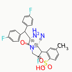 Cc1ccc(S(=O)(=O)O)c(C2[C@H](F)CN(C(=O)[C@@H](N)C(c3ccc(F)cc3)c3ccc(F)cc3)[C@@H]2C#N)c1